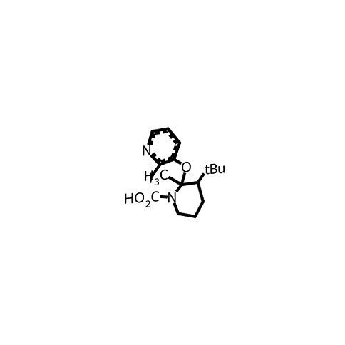 CC(C)(C)C1CCCN(C(=O)O)C1(C)Oc1cccnc1I